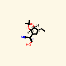 CC[C@H]1CC(/C(C#N)=C/O)[C@@H]2OC(C)(C)O[C@H]12